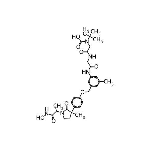 Cc1cc(COc2ccc(C3(C)CCN(C(C)C(=O)NO)C3=O)cc2)cc(NC(=O)CNC(=O)CN(C(=O)O)C(C)(C)C)c1